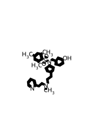 Cc1cc(C)c(S(=O)(=O)N(Cc2cccc(O)c2)c2ccc(CCCN(C)CCc3ccccn3)cc2)c(C)c1